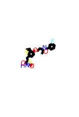 Cc1oc(-c2cccc(F)c2)nc1CCOc1ccc(CC2SC(=O)NC2=O)c2sccc12